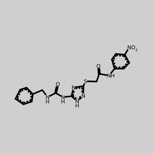 O=C(CSc1n[nH]c(NC(=O)NCc2ccccc2)n1)Nc1ccc([N+](=O)[O-])cc1